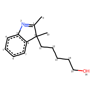 CC1=Nc2ccccc2C1(C)CCCCCO